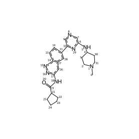 CN1CCC(Nc2cncc(-c3ccc4nnc(NC(=O)C5CCCC5)cc4c3)n2)CC1